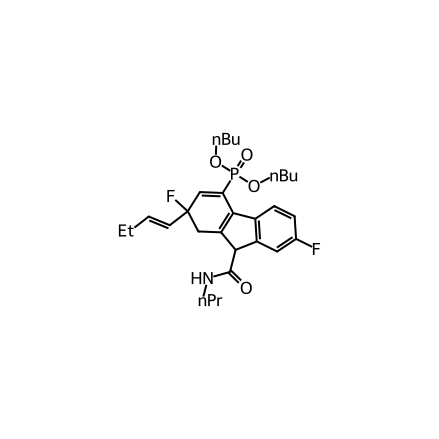 CCC=CC1(F)C=C(P(=O)(OCCCC)OCCCC)C2=C(C1)C(C(=O)NCCC)c1cc(F)ccc12